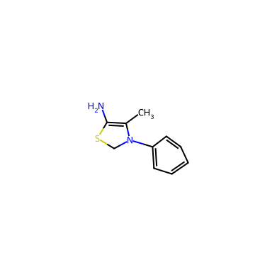 CC1=C(N)SCN1c1ccccc1